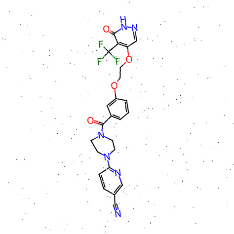 N#Cc1ccc(N2CCN(C(=O)c3cccc(OCCOc4cn[nH]c(=O)c4C(F)(F)F)c3)CC2)nc1